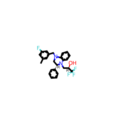 Cc1cc(F)cc(CN2C[C@@H](c3ccccc3)N(C[C@@H](O)C(F)(F)F)c3ccccc32)c1